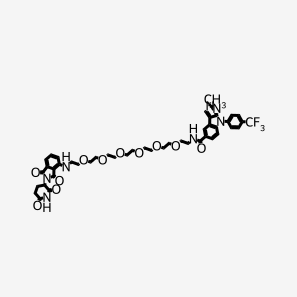 Cn1cc2c3cc(C(=O)NCCOCCOCCOCCOCCOCCOCCNc4cccc5c4C(=O)N(C4CCC(=O)NC4=O)C5=O)ccc3n(-c3ccc(C(F)(F)F)cc3)c2n1